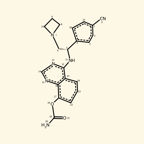 N#Cc1ccc([C@@H](CN2CCC2)Nc2ncnc3c(OC(N)=O)cccc23)cc1